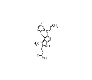 C=CCOc1ccc2[nH]c(CCC(=O)O)c(C)c2c1Cc1ccc(Cl)cc1